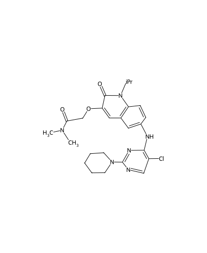 CC(C)n1c(=O)c(OCC(=O)N(C)C)cc2cc(Nc3nc(N4CCCCC4)ncc3Cl)ccc21